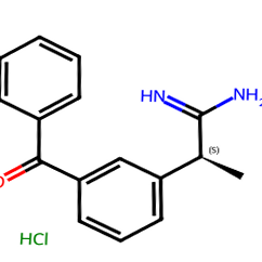 C[C@H](C(=N)N)c1cccc(C(=O)c2ccccc2)c1.Cl